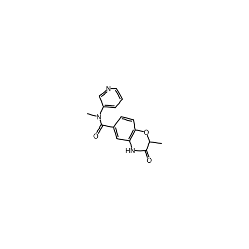 CC1Oc2ccc(C(=O)N(C)c3cccnc3)cc2NC1=O